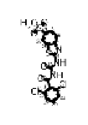 CS(=O)(=O)c1ccc2nc(NC(=O)NC(=O)c3c(Cl)cccc3Cl)sc2c1